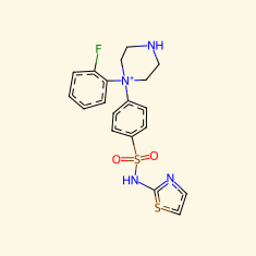 O=S(=O)(Nc1nccs1)c1ccc([N+]2(c3ccccc3F)CCNCC2)cc1